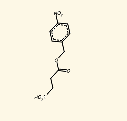 O=C(O)CCC(=O)OCc1ccc([N+](=O)[O-])cc1